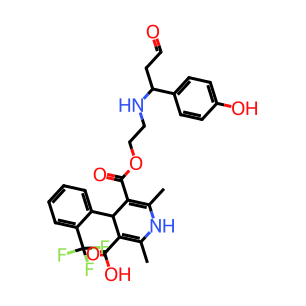 CC1=C(C(=O)O)C(c2ccccc2C(F)(F)F)C(C(=O)OCCNC(CC=O)c2ccc(O)cc2)=C(C)N1